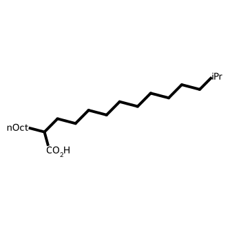 CCCCCCCCC(CCCCCCCCCCC(C)C)C(=O)O